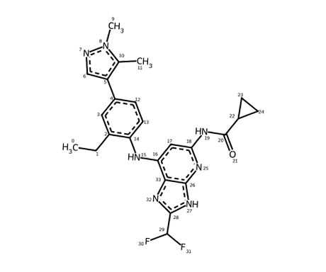 CCc1cc(-c2cnn(C)c2C)ccc1Nc1cc(NC(=O)C2CC2)nc2[nH]c(C(F)F)nc12